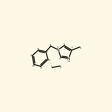 CC.Cc1cn(Cc2ccccc2)cn1